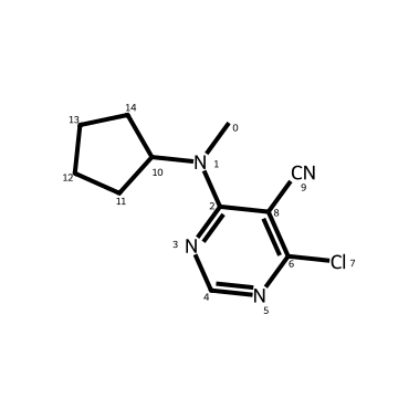 CN(c1ncnc(Cl)c1C#N)C1CCCC1